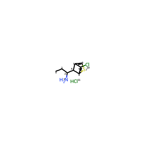 CCC(N)C1c2csc1c2Cl.Cl